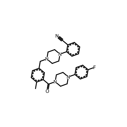 Cc1ccc(CN2CCN(c3ccccc3C#N)CC2)cc1C(=O)N1CCN(c2ccc(F)cc2)CC1